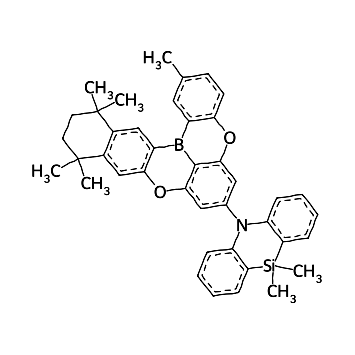 Cc1ccc2c(c1)B1c3cc4c(cc3Oc3cc(N5c6ccccc6[Si](C)(C)c6ccccc65)cc(c31)O2)C(C)(C)CCC4(C)C